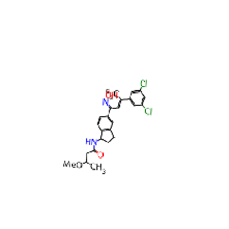 COC(C)CC(=O)NC1CCc2cc(C(/C=C(/c3cc(Cl)cc(Cl)c3)C(F)(F)F)=NO)ccc21